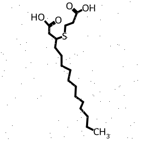 CCCCCCCCCCCCC(CC(=O)O)SCCC(=O)O